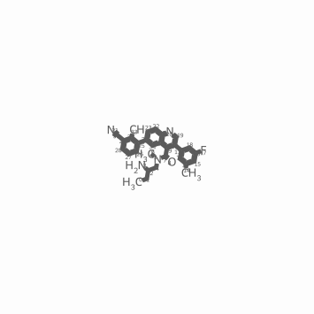 CCC(N)CN(C)C(=O)c1c(-c2cc(C)cc(F)c2)cnc2ccc(-c3cccc(C#N)c3C)cc12